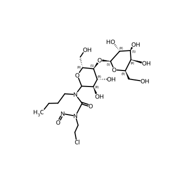 CCCCN(C(=O)N(CCCl)N=O)C1O[C@H](CO)[C@@H](O[C@@H]2O[C@H](CO)[C@H](O)[C@H](O)[C@H]2O)[C@H](O)[C@H]1O